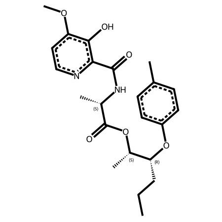 CCC[C@@H](Oc1ccc(C)cc1)[C@H](C)OC(=O)[C@H](C)NC(=O)c1nccc(OC)c1O